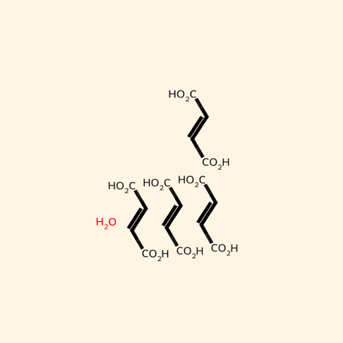 O.O=C(O)C=CC(=O)O.O=C(O)C=CC(=O)O.O=C(O)C=CC(=O)O.O=C(O)C=CC(=O)O